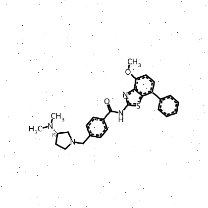 COc1ccc(-c2ccccc2)c2sc(NC(=O)c3ccc(CN4CC[C@H](N(C)C)C4)cc3)nc12